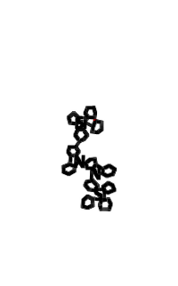 c1ccc([Si](c2ccccc2)(c2ccccc2)c2cccc(-n3c4ccccc4c4ccc(-n5c6ccccc6c6ccc(-c7ccc8c(c7)-c7ccccc7[Si]8(c7ccccc7)c7ccccc7)cc65)cc43)c2)cc1